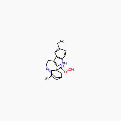 CCCC1CC2CN3CCc4c([nH]c5ccc(CC(C)=O)cc45)C(C(=O)OO)(C2)C13